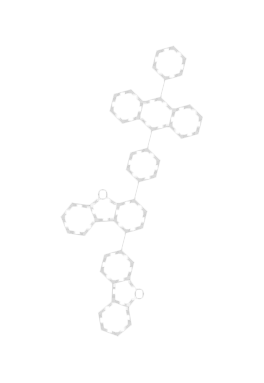 c1ccc(-c2c3ccccc3c(-c3ccc(-c4ccc(-c5ccc6c(c5)oc5ccccc56)c5c4oc4ccccc45)cc3)c3ccccc23)cc1